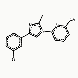 Cc1nc(-c2cccc(Cl)c2)cn1-c1cccc(O)n1